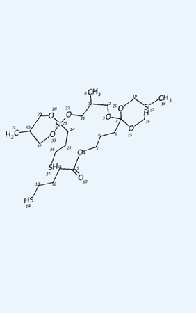 CC(COC1(CCCOC(=O)CCCS)OC[SiH](C)CO1)CO[Si]1(CCCS)OCC(C)CO1